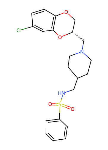 O=S(=O)(NCC1CCN(C[C@H]2COc3ccc(Cl)cc3O2)CC1)c1ccccc1